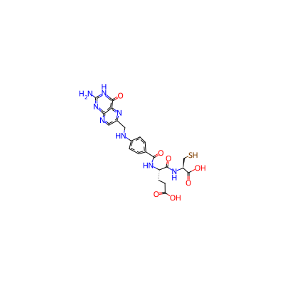 Nc1nc2ncc(CNc3ccc(C(=O)N[C@@H](CCC(=O)O)C(=O)N[C@@H](CS)C(=O)O)cc3)nc2c(=O)[nH]1